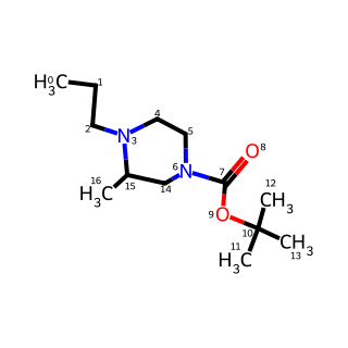 CCCN1CCN(C(=O)OC(C)(C)C)CC1C